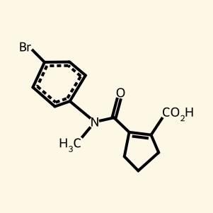 CN(C(=O)C1=C(C(=O)O)CCC1)c1ccc(Br)cc1